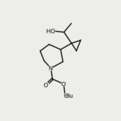 CC(O)C1(C2CCCN(C(=O)OC(C)(C)C)C2)CC1